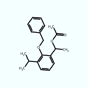 CC(=O)OC(C)c1cccc(C(C)C)c1OCc1ccccc1